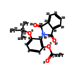 CCCC(=O)Oc1cccc(O[Si](C(C)C)(C(C)C)C(C)C)c1N1C(=O)c2ccccc2C1=O